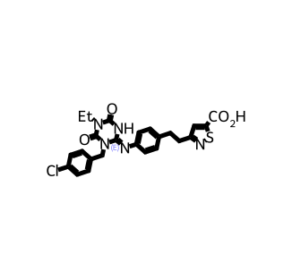 CCn1c(=O)[nH]/c(=N\c2ccc(CCc3cc(C(=O)O)sn3)cc2)n(Cc2ccc(Cl)cc2)c1=O